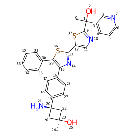 CC(O)(c1cccnc1)c1ncc(-c2nc(-c3ccc([C@]4(N)C[C@@](C)(O)C4)cc3)c(-c3ccccc3)s2)s1